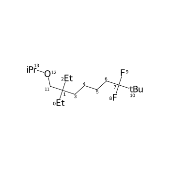 CCC(CC)(CCCCC(F)(F)C(C)(C)C)COC(C)C